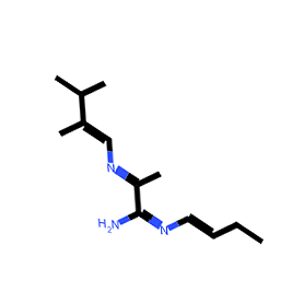 CC/C=C/N=C(N)\C(C)=N\C=C(/C)C(C)C